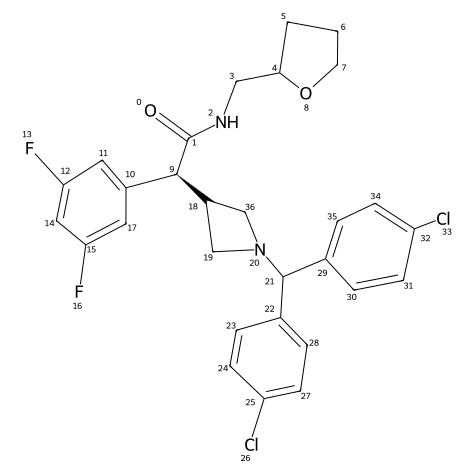 O=C(NCC1CCCO1)[C@H](c1cc(F)cc(F)c1)C1CN(C(c2ccc(Cl)cc2)c2ccc(Cl)cc2)C1